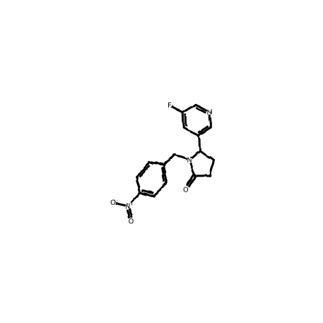 O=C1CCC(c2cncc(F)c2)N1Cc1ccc([N+](=O)[O-])cc1